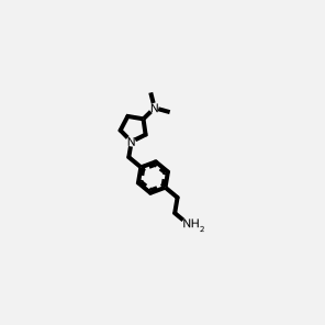 CN(C)C1CCN(Cc2ccc(CCN)cc2)C1